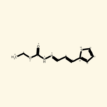 CCOC(=O)N/N=C/C=C/c1cccs1